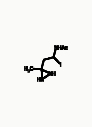 CC(=O)NC(I)CC1(C)NN1